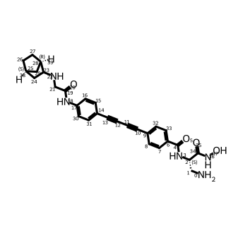 NC[C@H](NC(=O)c1ccc(C#CC#Cc2ccc(NC(=O)CNC3C[C@H]4CC[C@@H]3C4)cc2)cc1)C(=O)NO